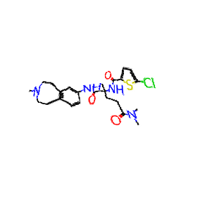 CN1CCc2ccc(NC(=O)C(C)(CCC(=O)N(C)C)NC(=O)c3ccc(Cl)s3)cc2CC1